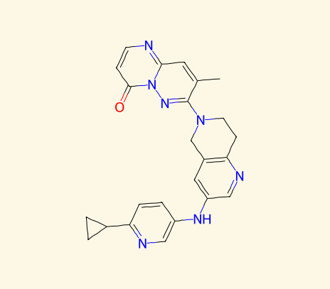 Cc1cc2nccc(=O)n2nc1N1CCc2ncc(Nc3ccc(C4CC4)nc3)cc2C1